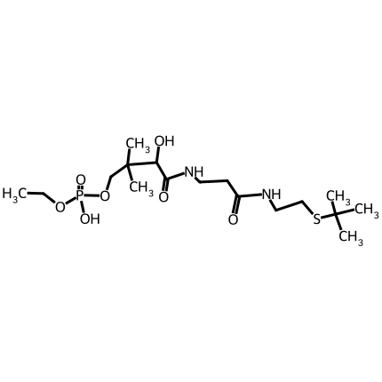 CCOP(=O)(O)OCC(C)(C)C(O)C(=O)NCCC(=O)NCCSC(C)(C)C